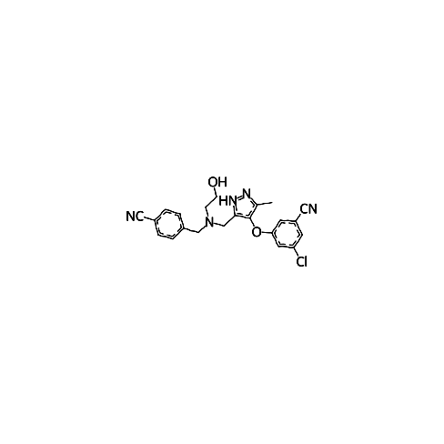 Cc1n[nH]c(CN(CCO)Cc2ccc(C#N)cc2)c1Oc1cc(Cl)cc(C#N)c1